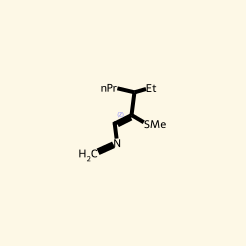 C=N/C=C(\SC)C(CC)CCC